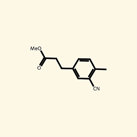 COC(=O)CCc1ccc(C)c(C#N)c1